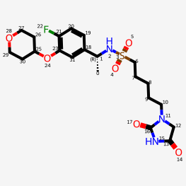 C[C@@H](NS(=O)(=O)CCCCCN1CC(=O)NC1=O)c1ccc(F)c(OC2CCOCC2)c1